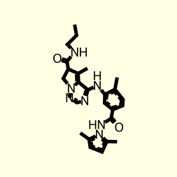 CCCNC(=O)C1CN2N=CN=C(Nc3cc(C(=O)Nn4c(C)ccc4C)ccc3C)C2=C1C